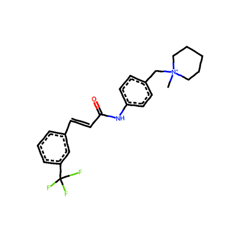 C[N+]1(Cc2ccc(NC(=O)/C=C/c3cccc(C(F)(F)F)c3)cc2)CCCCC1